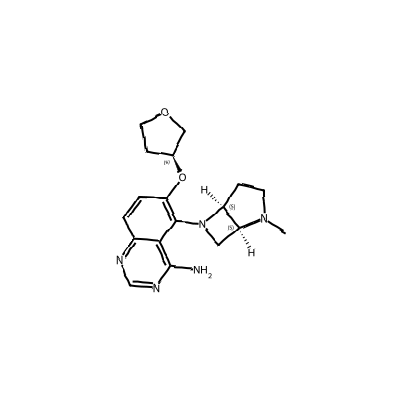 CN1CC[C@H]2[C@@H]1CN2c1c(O[C@H]2CCOC2)ccc2ncnc(N)c12